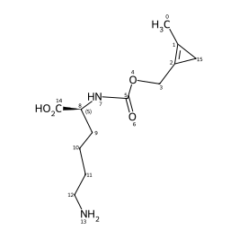 CC1=C(COC(=O)N[C@@H](CCCCN)C(=O)O)C1